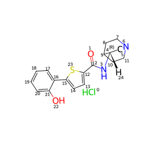 Cl.O=C(N[C@H]1CN2CCC1CC2)c1ccc(-c2ccccc2O)s1